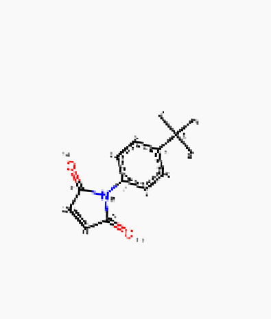 CC(C)(C)c1ccc(N2C(=O)C=CC2=O)cc1